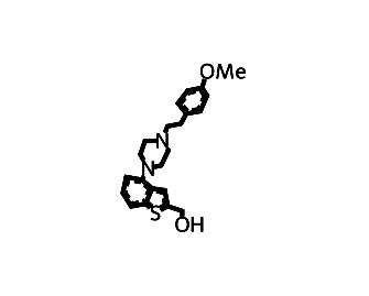 COc1ccc(CCN2CCN(c3cccc4sc(CO)cc34)CC2)cc1